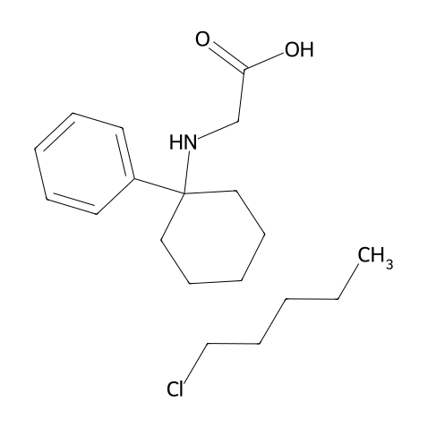 CCCCCCl.O=C(O)CNC1(c2ccccc2)CCCCC1